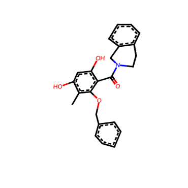 Cc1c(O)cc(O)c(C(=O)N2CCc3ccccc3C2)c1OCc1ccccc1